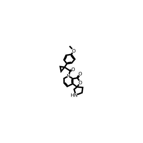 COc1ccc(C2(C(=O)N3CC=CC4=C3C(=O)OC43CCNC3)CC2)cc1